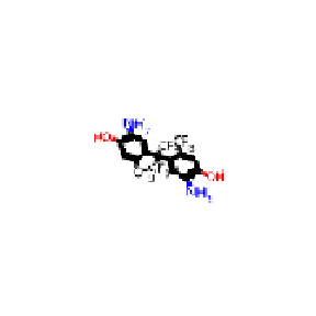 Nc1cc(C(c2cc(N)c(O)cc2C(F)(F)F)(C(F)(F)F)C(F)(F)F)c(C(F)(F)F)cc1O